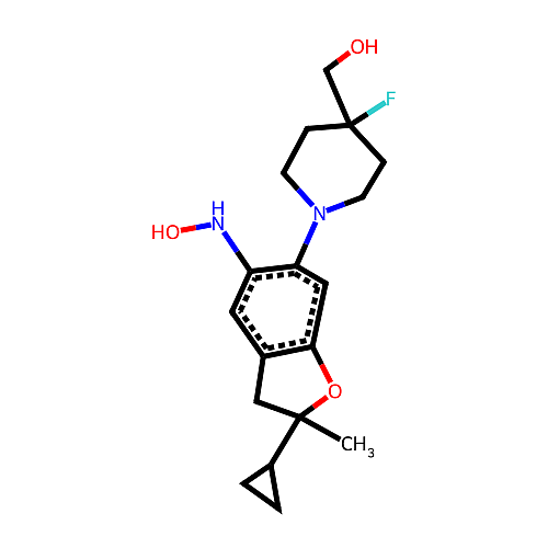 CC1(C2CC2)Cc2cc(NO)c(N3CCC(F)(CO)CC3)cc2O1